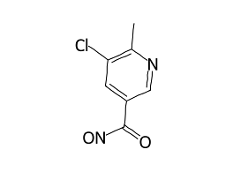 Cc1ncc(C(=O)N=O)cc1Cl